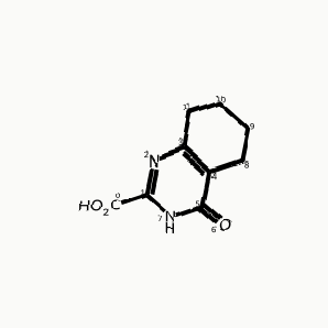 O=C(O)c1nc2c(c(=O)[nH]1)CCCC2